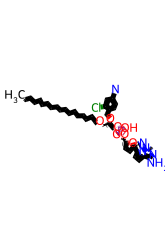 CCCCCCCCCCCCCCCCCCOC[C@H](COP(=O)(O)OC[C@@H]1CC[C@](C#N)(c2ccc3c(N)ncnn23)O1)OCc1ccc(C#N)cc1Cl